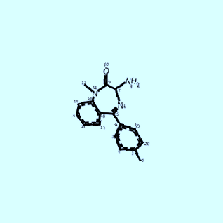 Cc1ccc(C2=NC(N)C(=O)N(C)c3ccccc32)cc1